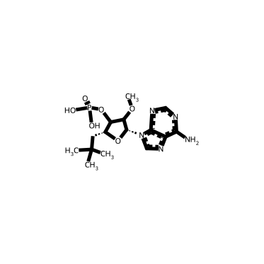 COC1C(OP(=O)(O)O)[C@@H](CC(C)(C)C)O[C@H]1n1cnc2c(N)ncnc21